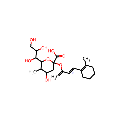 C=C(/C=C/C1=C(C)CCCC1)OC1(C(=O)O)CC(O)C(C)C(C(O)C(O)CO)O1